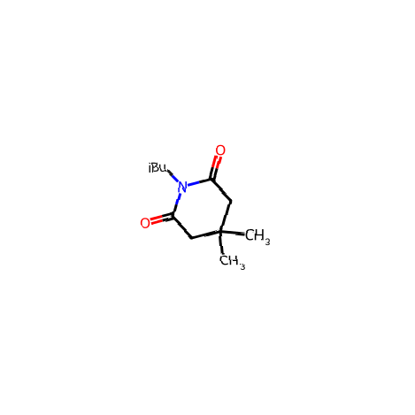 CCC(C)N1C(=O)CC(C)(C)CC1=O